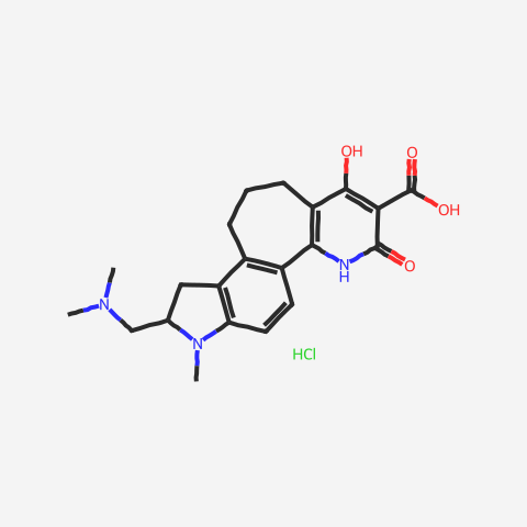 CN(C)CC1Cc2c(ccc3c2CCCc2c-3[nH]c(=O)c(C(=O)O)c2O)N1C.Cl